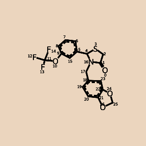 O=C1CSC(c2cccc(OC(F)(F)F)c2)N1Cc1ccc2c(c1)OCO2